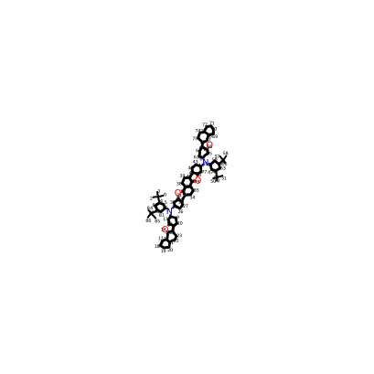 CC(C)(C)c1cc(N(c2ccc3c(c2)oc2c4ccccc4ccc32)c2ccc3c(c2)oc2c3ccc3c2ccc2c4ccc(N(c5cc(C(C)(C)C)cc(C(C)(C)C)c5)c5ccc6c(c5)oc5c7ccccc7ccc65)cc4oc23)cc(C(C)(C)C)c1